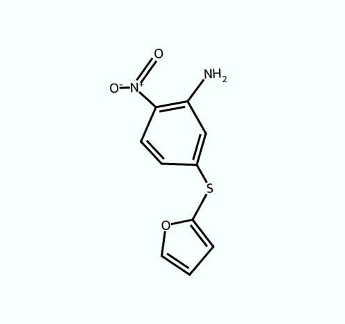 Nc1cc(Sc2ccco2)ccc1[N+](=O)[O-]